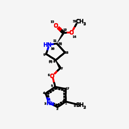 Bc1cncc(OC[C@H]2CN[C@H](C(=O)OC)C2)c1